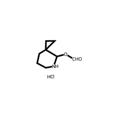 Cl.O=COC1NCCCC12CC2